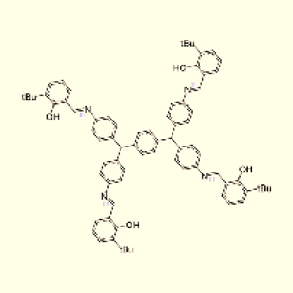 CC(C)(C)c1cccc(/C=N/c2ccc(C(c3ccc(/N=C/c4cccc(C(C)(C)C)c4O)cc3)c3ccc(C(c4ccc(/N=C/c5cccc(C(C)(C)C)c5O)cc4)c4ccc(/N=C/c5cccc(C(C)(C)C)c5O)cc4)cc3)cc2)c1O